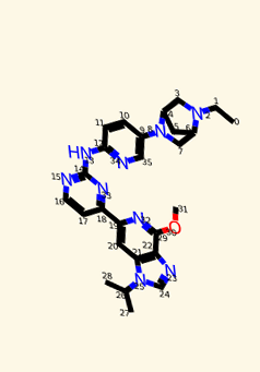 CCN1CC2CC1CN2c1ccc(Nc2nccc(-c3cc4c(ncn4C(C)C)c(OC)n3)n2)nc1